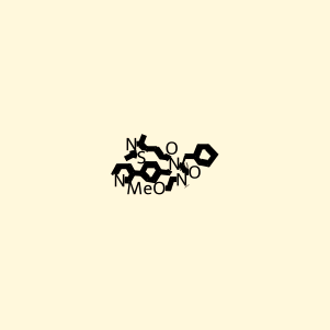 COCCN(C)C(=O)[C@H](Cc1ccccc1)N(Cc1ccc(-c2cccnc2)cc1)C(=O)C=Cc1sc(C)nc1C